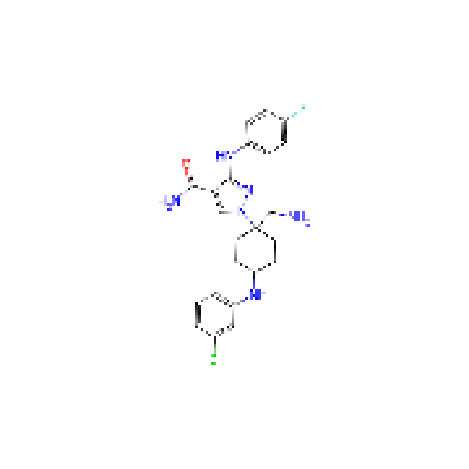 NCC1(n2cc(C(N)=O)c(Nc3ccc(F)cc3)n2)CCC(Nc2cccc(Cl)c2)CC1